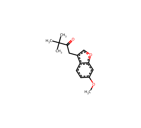 COc1ccc2c(CC(=O)C(C)(C)C)coc2c1